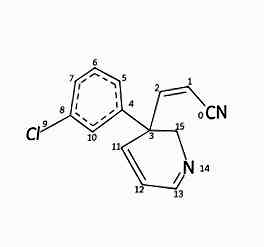 N#C/C=C\C1(c2cccc(Cl)c2)C=CC=NC1